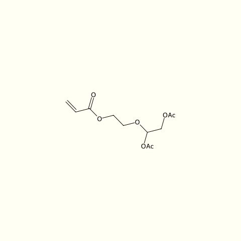 C=CC(=O)OCCOC(COC(C)=O)OC(C)=O